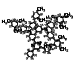 Cc1ccc(-c2ccc3c(c2)c2cc(-c4c(C)cc(C)cc4C)ccc2n3-c2ccc(-c3nc(-c4ccccc4)cc(-c4ccccc4)n3)cc2-c2cccc(-n3c4ccc(-c5c(C)cc(C)cc5C)cc4c4cc(-c5c(C)cc(C)cc5C)ccc43)c2)c(C)c1